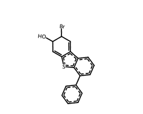 OC1C=c2sc3c(-c4ccccc4)cccc3c2=CC1Br